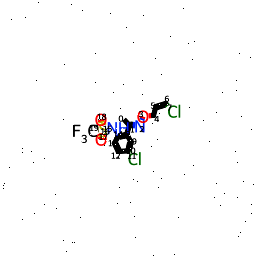 C/C(=N\OC/C=C\Cl)c1cc(Cl)ccc1NS(=O)(=O)C(F)(F)F